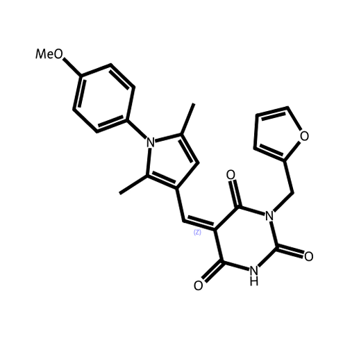 COc1ccc(-n2c(C)cc(/C=C3/C(=O)NC(=O)N(Cc4ccco4)C3=O)c2C)cc1